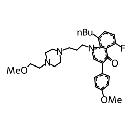 CCCCc1ccc(F)c2c(=O)c(-c3ccc(OC)cc3)cn(CCCN3CCN(CCOC)CC3)c12